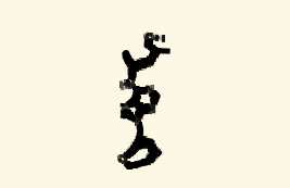 CC(CO)CC(C)Nc1ncnc2c1ncn2C1CCCO1